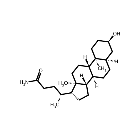 C[C@H](CCC(N)=O)[C@H]1CC[C@H]2[C@@H]3CC[C@@H]4C[C@H](O)CC[C@]4(C)[C@H]3CC[C@]12C